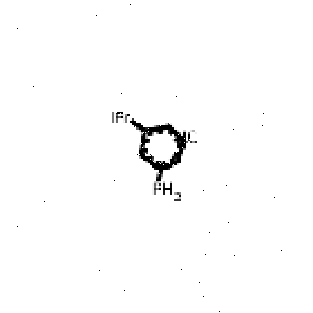 CC(C)c1cccc(P)c1.Cl